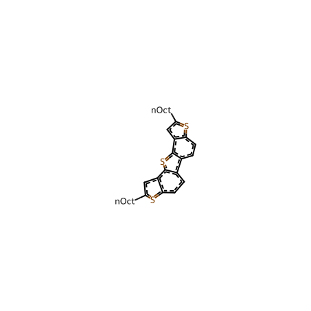 CCCCCCCCc1cc2c(ccc3c4ccc5sc(CCCCCCCC)cc5c4sc23)s1